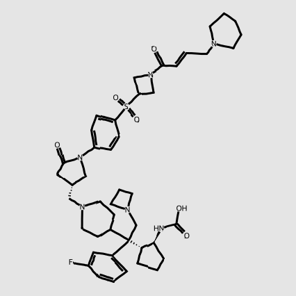 O=C(O)N[C@H]1CCC[C@@H]1C(CN1CCC1)(c1cccc(F)c1)C1CCN(C[C@@H]2CC(=O)N(c3ccc(S(=O)(=O)C4CN(C(=O)/C=C/CN5CCCCC5)C4)cc3)C2)CC1